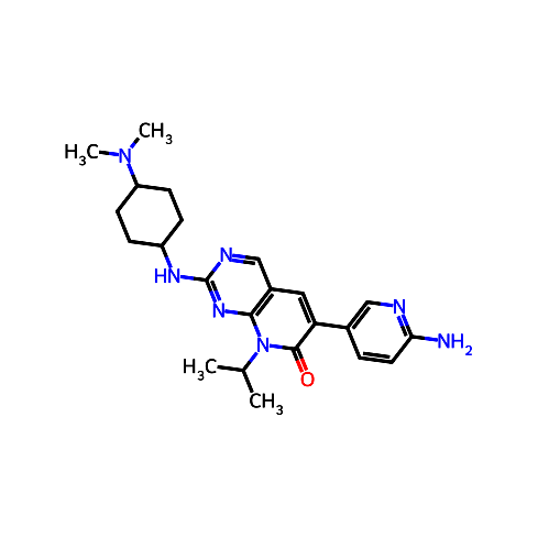 CC(C)n1c(=O)c(-c2ccc(N)nc2)cc2cnc(NC3CCC(N(C)C)CC3)nc21